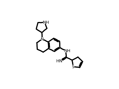 N=C(Nc1ccc2c(c1)CCCN2C1CCNC1)C1CC=CS1